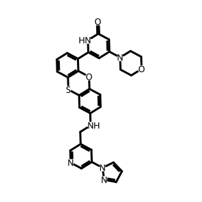 O=c1cc(N2CCOCC2)cc(-c2cccc3c2Oc2ccc(NCc4cncc(-n5cccn5)c4)cc2S3)[nH]1